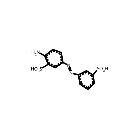 Nc1ccc(N=Nc2cccc(S(=O)(=O)O)c2)cc1S(=O)(=O)O